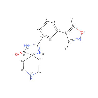 Cc1noc(C)c1-c1cccc(C2=NC3(CCNCC3)C(=O)N2)c1